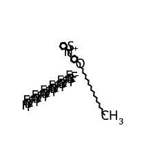 CCCCCCCCCCCCCCCCCCOc1ccc(C[n+]2csc3ccccc32)cc1.F[B-](F)(F)F.F[B-](F)(F)F.F[B-](F)(F)F.F[B-](F)(F)F.F[B-](F)(F)F.F[B-](F)(F)F